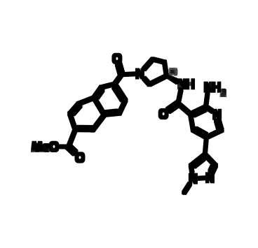 COC(=O)c1ccc2cc(C(=O)N3CC[C@@H](NC(=O)c4cc(-c5cnn(C)c5)cnc4N)C3)ccc2c1